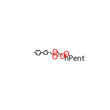 CCCCCC(=O)OCC1COC(CCc2ccc(-c3ccc(C)cc3)cc2)OC1